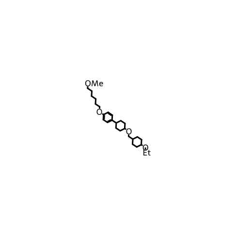 CCOC1CCC(COC2CCC(c3ccc(OCCCCCCOC)cc3)CC2)CC1